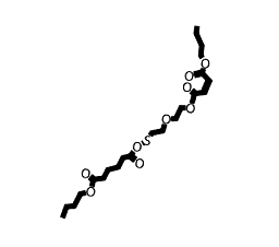 CCCCOC(=O)/C=C\C(=O)OCCOCCSOC(=O)CCCCC(=O)OCCCC